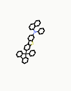 c1ccc(N(c2ccc3c(c2)sc2cc(C4(c5ccccc5)c5ccccc5-c5ccccc54)ccc23)c2cccc3ccccc23)cc1